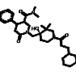 CN(C)C(=O)C1CN(C[C@]2(O)CCN(C(=O)CCC3CCCCC3)CC2(C)C)C(=O)CC1c1ccccc1